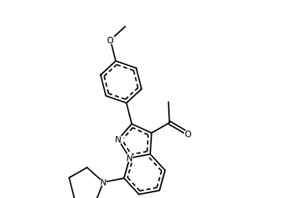 COc1ccc(-c2nn3c(N4CCCC4)cccc3c2C(C)=O)cc1